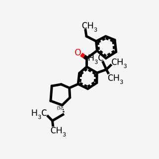 CCc1ccccc1C(=O)c1cc(C2CCC[C@@H](CC(C)C)C2)ccc1C(C)(C)C